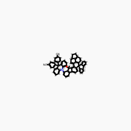 CC1(C)c2c(cccc2N2c3ccccc3C(c3ccc(C#N)cc3)(c3ccc(C#N)cc3)c3ccccc32)-c2ccc3c(c21)-c1ccc2c4c(ccc(c14)C31c3ccccc3-c3ccccc31)CC2